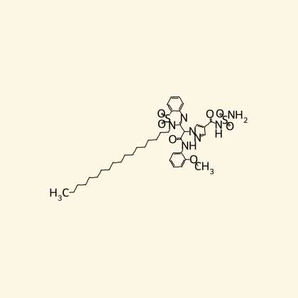 CCCCCCCCCCCCCCCCCCN1C(C(C(=O)Nc2ccccc2OC)n2cc(C(=O)NS(N)(=O)=O)cn2)=Nc2ccccc2S1(=O)=O